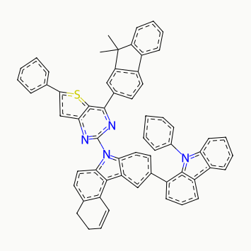 CC1(C)c2ccccc2-c2ccc(-c3nc(-n4c5ccc(-c6cccc7c8ccccc8n(-c8ccccc8)c67)cc5c5c6c(ccc54)CCC=C6)nc4cc(-c5ccccc5)sc34)cc21